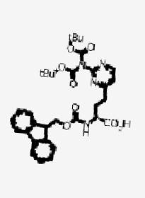 CC(C)(C)OC(=O)N(C(=O)OC(C)(C)C)c1nccc(CC[C@H](NC(=O)OCC2c3ccccc3-c3ccccc32)C(=O)O)n1